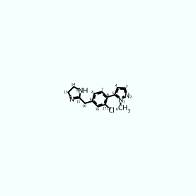 Cn1nccc1-c1ccc(CC2=NCCN2)cc1Cl